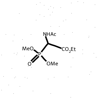 CCOC(=O)C(NC(C)=O)P(=O)(OC)OC